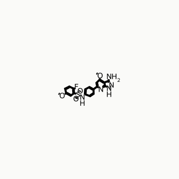 COc1ccc(F)c(S(=O)(=O)Nc2ccc(-c3cc(OC)c4c(N)n[nH]c4n3)cc2)c1